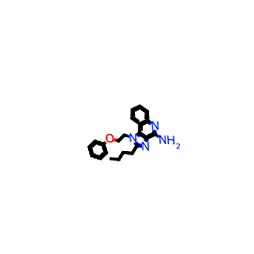 CCCCc1nc2c(N)nc3ccccc3c2n1CCOc1ccccc1